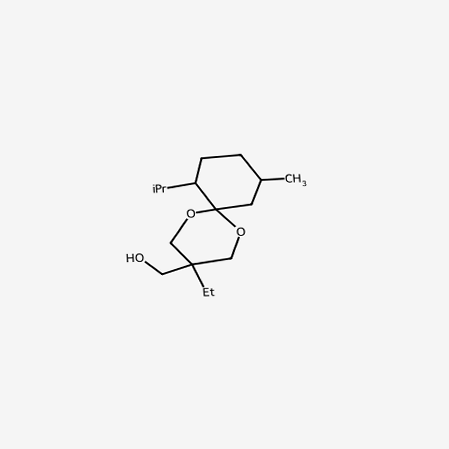 CCC1(CO)COC2(CC(C)CCC2C(C)C)OC1